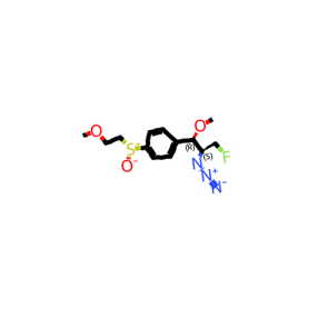 COCC[S+]([O-])c1ccc([C@@H](OC)[C@@H](CF)N=[N+]=[N-])cc1